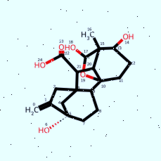 C=C1CC23C[C@@]1(O)CCC2C12CCC(O)C(C)(C(O)O1)C2C3C(=O)O